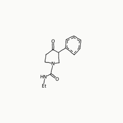 CCNC(=O)N1CCC(=O)C(c2ccccc2)C1